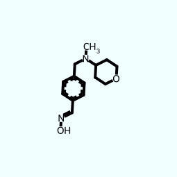 CN(Cc1ccc(/C=N/O)cc1)C1CCOCC1